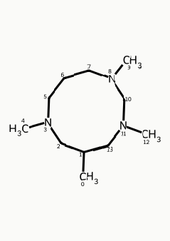 CC1CN(C)CCCN(C)CN(C)C1